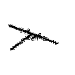 CCCCCCCCCCSSSCCOC(=O)CCN(CCO)CCCN(CCC(=O)OCCSSSCCCCCCCCCC)CCC(=O)OCCSSSCCCCCCCCCC